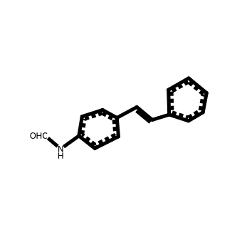 O=CNc1ccc(C=Cc2ccccc2)cc1